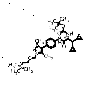 Cc1nn(COCC[Si](C)(C)C)c(C)c1-c1ccc(NC(=O)[C@@H](NC(=O)OC(C)(C)C)C(C2CC2)C2CC2)cc1